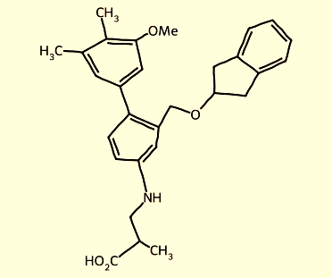 COc1cc(-c2ccc(NCC(C)C(=O)O)cc2COC2Cc3ccccc3C2)cc(C)c1C